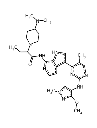 CCC(C(=O)Nc1nccc2c(-c3nc(Nc4cn(C)nc4OC)ncc3C)c[nH]c12)N1CCC(N(C)C)CC1